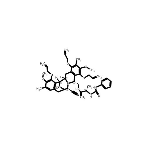 C=CCOc1c(C)c(OC)c(OCC=C)c2c1C[C@H]1[C@H]3c4c(cc(C)c(OC)c4OCC=C)CC([C@H](C#N)N1[C@H]2CNC(=C)[C@H](C)NC(=O)Nc1ccccc1)N3C